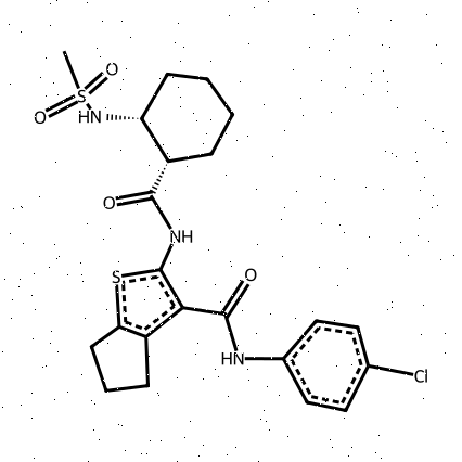 CS(=O)(=O)N[C@@H]1CCCC[C@@H]1C(=O)Nc1sc2c(c1C(=O)Nc1ccc(Cl)cc1)CCC2